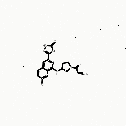 C=CC(=O)N1CCC(Nc2nc(-c3n[nH]c(=O)[nH]3)cc3ccc(Cl)cc23)C1